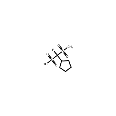 CS(=O)(=O)C(F)(C1CCCC1)S(=O)(=O)O